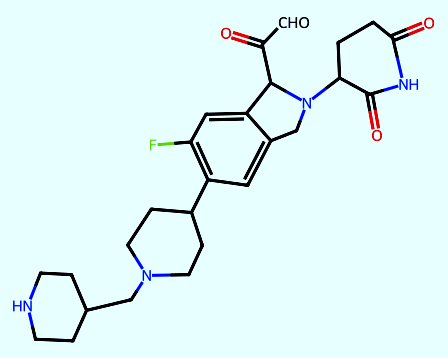 O=CC(=O)C1c2cc(F)c(C3CCN(CC4CCNCC4)CC3)cc2CN1C1CCC(=O)NC1=O